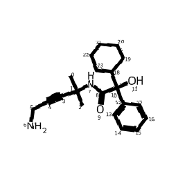 CC(C)(C#CCN)NC(=O)C(O)(c1ccccc1)C1CCCCC1